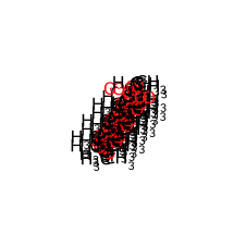 C[Si](C)(C)O[Si](C)(C)O[Si](C)(C)O[Si](C)(C)O[Si](C)(C)O[Si](C)(C)O[Si](C)(C)O[Si](C)(C)O[Si](C)(C)O[Si](C)(C)O[Si](C)(C)O[Si](C)(C)O[Si](C)(C)O[Si](C)(C)O[Si](C)(C)O[Si](C)(C)O[Si](C)(C)O[Si](C)(C)O[Si](C)(C)O[Si](C)(C)O[Si](C)(C)O[Si](C)(C)O[Si](C)(C)O[Si](C)(C)O[Si](C)(C)O[Si](C)(C)O[Si](C)(C)O[Si](C)(C)O[Si](C)(CCCOCC1CO1)O[Si](C)(CCCOCC1CO1)O[Si](C)(C)C